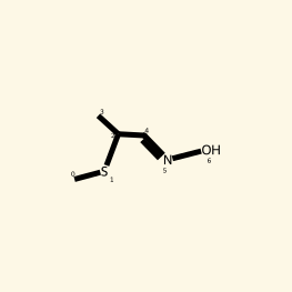 CSC(C)/C=N/O